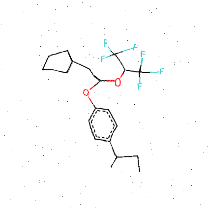 CCC(C)c1ccc(OC(CC2CCCC2)OC(C(F)(F)F)C(F)(F)F)cc1